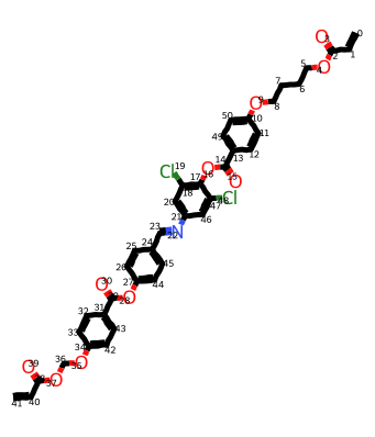 C=CC(=O)OCCCCOc1ccc(C(=O)Oc2c(Cl)cc(/N=C/c3ccc(OC(=O)c4ccc(OCOC(=O)C=C)cc4)cc3)cc2Cl)cc1